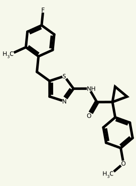 COc1ccc(C2(C(=O)Nc3ncc(Cc4ccc(F)cc4C)s3)CC2)cc1